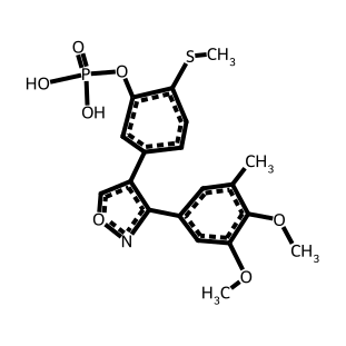 COc1cc(-c2nocc2-c2ccc(SC)c(OP(=O)(O)O)c2)cc(C)c1OC